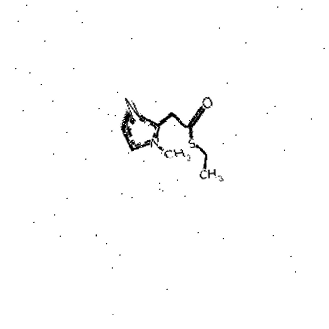 CCSC(=O)Cc1nccn1C